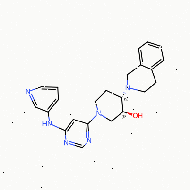 O[C@H]1CN(c2cc(Nc3cccnc3)ncn2)CC[C@@H]1N1CCc2ccccc2C1